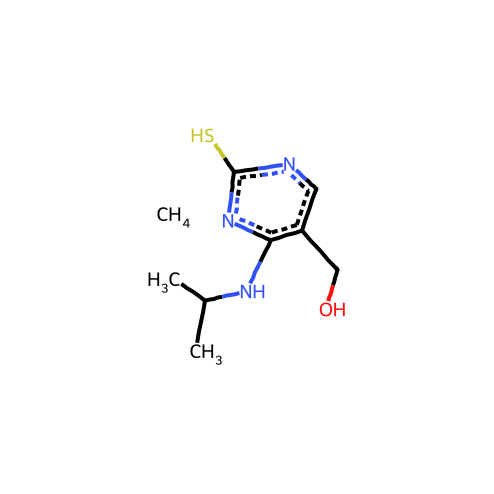 C.CC(C)Nc1nc(S)ncc1CO